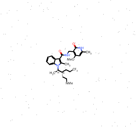 CNCC[C@@H](CCC(F)(F)F)[C@@H](C)n1c(C)c(C(=O)NCc2c(OC)cc(C)[nH]c2=O)c2ccccc21